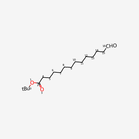 CC(C)(C)OC(=O)CCCCCCCCCCCCC=O